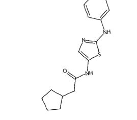 O=C(CC1CCCC1)Nc1cnc(Nc2ccccc2)s1